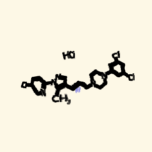 Cc1c(/C=C/CN2CCN(c3cc(Cl)cc(Cl)c3)CC2)cnn1-c1ccc(Cl)cn1.Cl